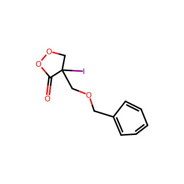 O=C1OOCC1(I)COCc1ccccc1